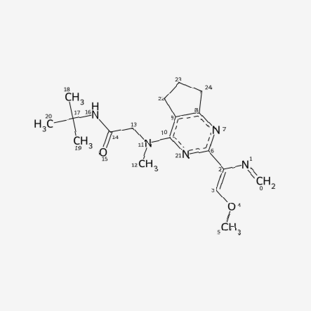 C=N/C(=C\OC)c1nc2c(c(N(C)CC(=O)NC(C)(C)C)n1)CCC2